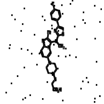 CCc1nc2ccc(N3CCN(SCC(=O)O)CC3)cn2c1N(C)c1nc(-c2ccc(F)cc2)cs1